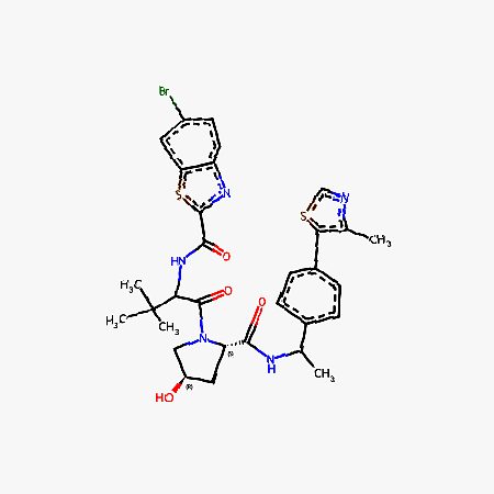 Cc1ncsc1-c1ccc(C(C)NC(=O)[C@@H]2C[C@@H](O)CN2C(=O)C(NC(=O)c2nc3ccc(Br)cc3s2)C(C)(C)C)cc1